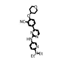 CCN(CC)c1ccc(Nc2nccc(-c3ccc(OC4CCOCC4)c(C#N)c3)n2)cn1